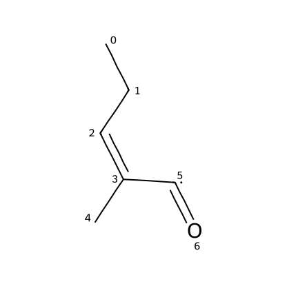 CCC=C(C)[C]=O